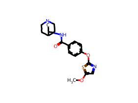 COc1cnc(Oc2ccc(C(=O)NC3CN4CCC3CC4)cc2)s1